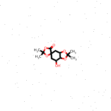 CC1(C)OC2CC3(CC(O)C2O1)OC(C)(C)OC3=O